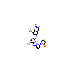 CN1CCc2cc(Nc3ncc(C#N)c(Nc4cccc(N5CCCC5=O)n4)n3)cc(Cl)c2C1